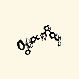 COc1cc2ccc(-c3nc(C)ccc3-c3cnn(CC4(C)CCC5(C4)O[C@@H](c4ccccc4)[C@H](c4ccccc4)O5)c3)cc2nn1